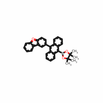 CC1(C)OB(c2c3ccccc3c(-c3ccc4oc5ccccc5c4c3)c3ccccc23)OC1(C)C